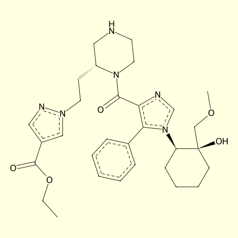 CCOC(=O)c1cnn(CC[C@@H]2CNCCN2C(=O)c2ncn([C@@H]3CCCC[C@@]3(O)COC)c2-c2ccccc2)c1